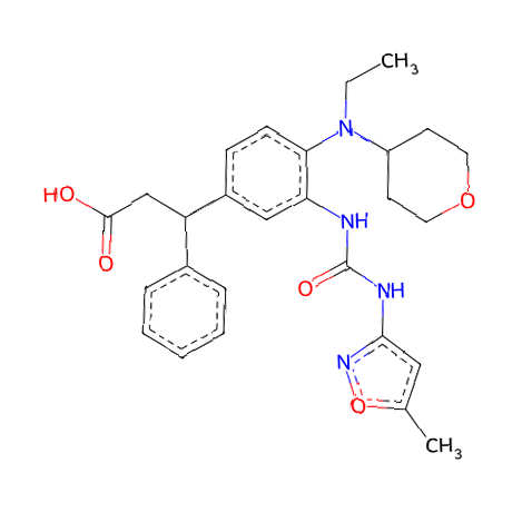 CCN(c1ccc(C(CC(=O)O)c2ccccc2)cc1NC(=O)Nc1cc(C)on1)C1CCOCC1